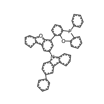 c1ccc(-c2ccc3c(c2)c2ccccc2n3-c2cc(-c3cccc4c3Oc3ccccc3P4c3ccccc3)c3oc4ccccc4c3c2)cc1